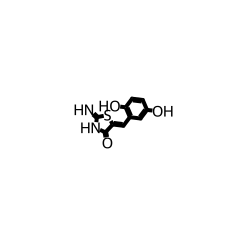 N=C1NC(=O)C(=Cc2cc(O)ccc2O)S1